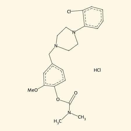 COc1cc(CN2CCN(c3ccccc3Cl)CC2)ccc1OC(=O)N(C)C.Cl